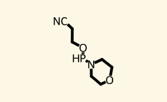 N#CCCOPN1CCOCC1